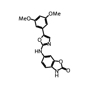 COc1cc(OC)cc(-c2cnc(Nc3ccc4[nH]c(=O)oc4c3)o2)c1